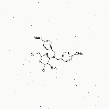 CCSc1nc(Cl)c([N+](=O)[O-])c(N(Cc2ccc(OC)cc2)Cc2ccc(OC)cc2)n1